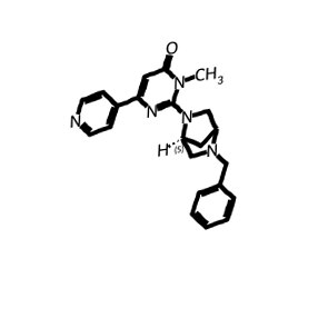 Cn1c(N2CC3C[C@H]2CN3Cc2ccccc2)nc(-c2ccncc2)cc1=O